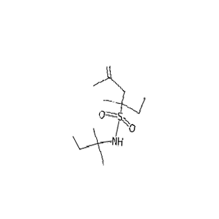 C=C(C)CC(C)(CC)S(=O)(=O)NC(C)(C)CC